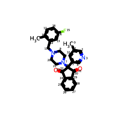 Cc1cncc(C2(N3CCN(Cc4cc(F)ccc4C)CC3)C(=O)c3ccccc3C2=O)c1